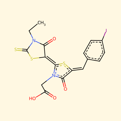 CCN1C(=O)/C(=c2\sc(=Cc3ccc(I)cc3)c(=O)n2CC(=O)O)SC1=S